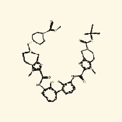 COC(=O)[C@H]1CC[C@H](CN2CCc3c(nc(C(=O)Nc4cccc(-c5cccc(NC(=O)c6nc7c(n6C)CCN(C(=O)OC(C)(C)C)C7)c5Cl)c4Cl)n3C)C2)CC1